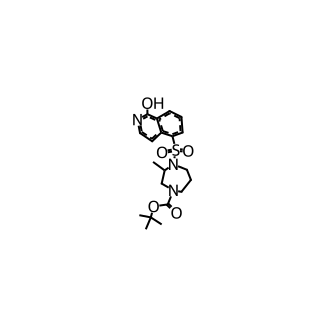 CC1CN(C(=O)OC(C)(C)C)CCCN1S(=O)(=O)c1cccc2c(O)nccc12